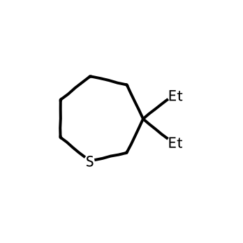 CCC1(CC)CCCCSC1